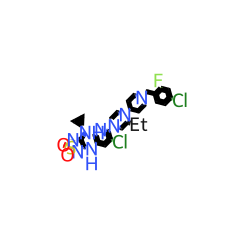 CCC1CN(c2ncc(NC3=NS(=O)(=O)N=C3NC3CC3)cc2Cl)CCN1C1CCN(Cc2ccc(Cl)cc2F)CC1